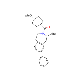 COC1CCC(C(=O)N2CCc3ccc(-c4ccccc4)cc3CC2C(C)(C)C)CC1